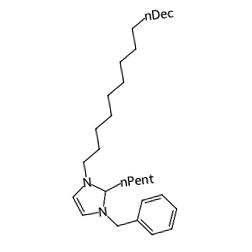 CCCCCCCCCCCCCCCCCCCN1C=CN(Cc2ccccc2)C1CCCCC